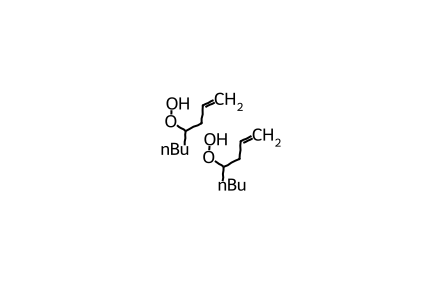 C=CCC(CCCC)OO.C=CCC(CCCC)OO